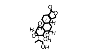 CC(CO)[C@]12O[C@H]1[C@@H]1O[C@@]13[C@@]1(C)CCC4=C(COC4=O)[C@@H]1C[C@@H]1O[C@@]13C2O